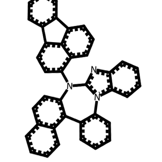 c1ccc2c(c1)-c1cccc3c(N4c5ccc6ccccc6c5-c5ccccc5-n5c4nc4ccccc45)ccc-2c13